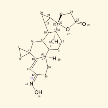 C[C@]12CCC3C(CC4(CC4)C4=C/C(=N/O)CC[C@@H]43)C1C1CC1[C@@]21CCC(=O)O1